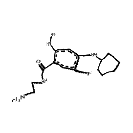 CC(C)Nc1cc(NC2CCCCC2)c(F)cc1C(=O)NCCN